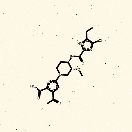 CCc1[nH]c(C(=O)N[C@@H]2CCN(c3cc(C(C)=O)c(C(=O)O)s3)C[C@@H]2OC)nc1Cl